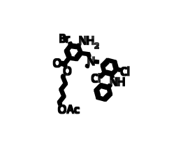 CC(=O)OCCCCCOC(=O)c1cc(Br)c(N)c(CN(C)C)c1.Clc1cccc(Cl)c1Nc1ccccc1